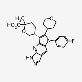 C[C@]1(C(=O)O)CC[C@H](c2c(C3CCOCC3)n(-c3ccc(F)cc3)c3cc4cn[nH]c4nc23)CO1